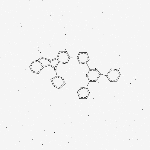 c1ccc(-c2cc(-c3ccccc3)nc(-c3cccc(-c4ccc5c6sc7ccccc7c6n(-c6ccccc6)c5c4)c3)n2)cc1